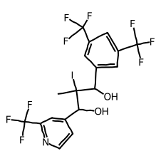 CC(I)(C(O)c1cc(C(F)(F)F)cc(C(F)(F)F)c1)C(O)c1ccnc(C(F)(F)F)c1